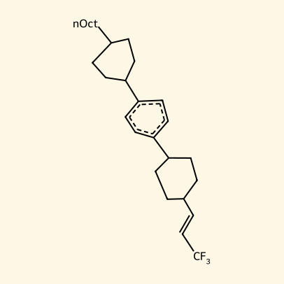 CCCCCCCCC1CCC(c2ccc(C3CCC(C=CC(F)(F)F)CC3)cc2)CC1